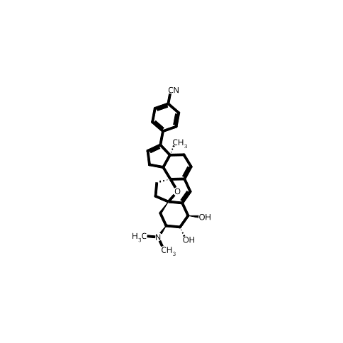 CN(C)[C@H]1C[C@@]23CC[C@@]4(O2)C(=CC[C@]2(C)C(c5ccc(C#N)cc5)=CCC24)C=C3[C@@H](O)[C@@H]1O